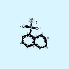 NS(=O)(=O)c1cccc2[c]cccc12